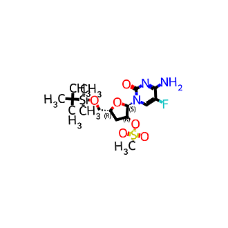 CC(C)(C)[Si](C)(C)OC[C@H]1C[C@@H](OS(C)(=O)=O)[C@@H](n2cc(F)c(N)nc2=O)O1